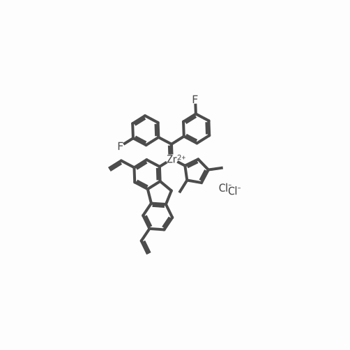 C=Cc1ccc2c(c1)-c1cc(C=C)c[c]([Zr+2]([C]3=CC(C)=CC3C)=[C](c3cccc(F)c3)c3cccc(F)c3)c1C2.[Cl-].[Cl-]